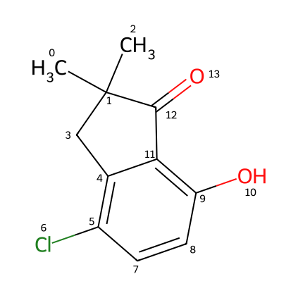 CC1(C)Cc2c(Cl)ccc(O)c2C1=O